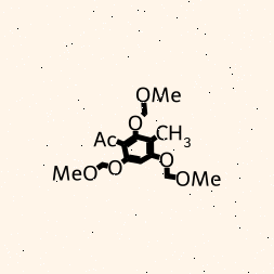 COCOc1cc(OCOC)c(C(C)=O)c(OCOC)c1C